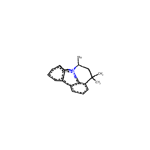 CC1(C)CC(C(C)(C)C)n2c3ccccc3c3cccc1c32